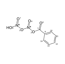 O=C(O[N+](=O)O[N+](=O)O)c1ccccc1